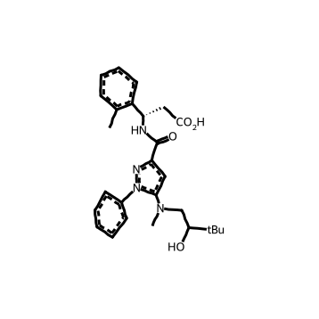 Cc1ccccc1[C@H](CC(=O)O)NC(=O)c1cc(N(C)CC(O)C(C)(C)C)n(-c2ccccc2)n1